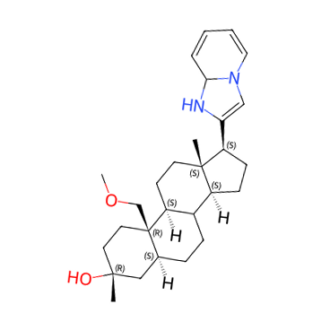 COC[C@]12CC[C@@](C)(O)C[C@@H]1CCC1[C@@H]3CC[C@H](C4=CN5C=CC=CC5N4)[C@@]3(C)CC[C@@H]12